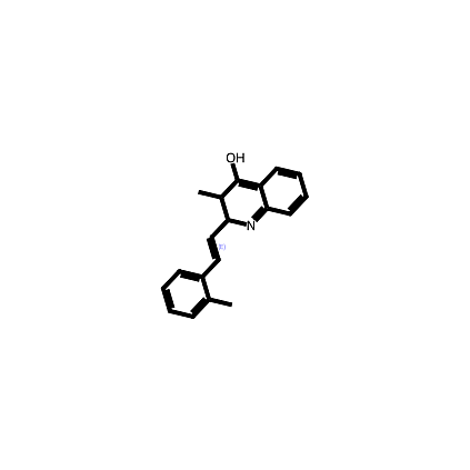 Cc1ccccc1/C=C/C1N=c2ccccc2=C(O)C1C